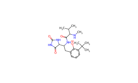 CNC(C(=O)NC(Cc1cccc(C(C)(C)C)c1O)C1NC(=O)NC1=O)C(C)C